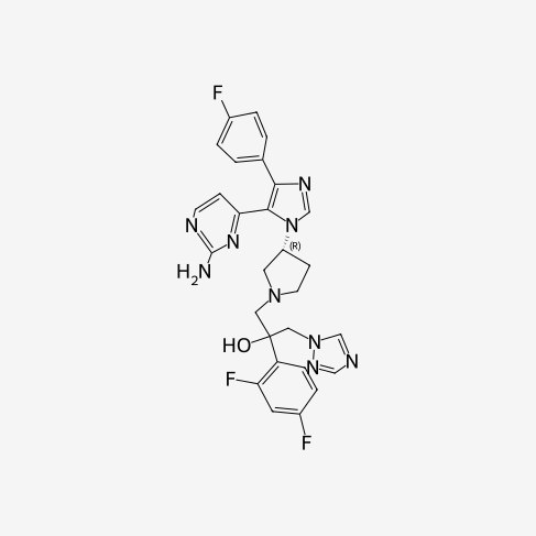 Nc1nccc(-c2c(-c3ccc(F)cc3)ncn2[C@@H]2CCN(CC(O)(Cn3cncn3)c3ccc(F)cc3F)C2)n1